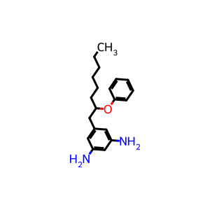 CCCCCCC(Cc1cc(N)cc(N)c1)Oc1ccccc1